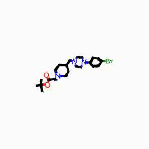 CC(C)(C)OC(=O)CN1CCC(CN2CCN(c3ccc(Br)cc3)CC2)CC1